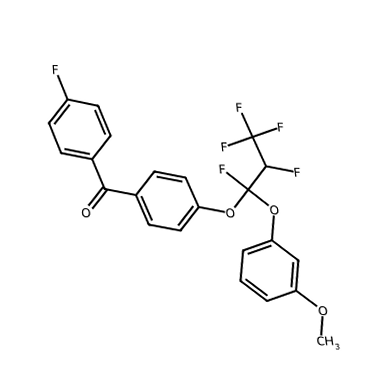 COc1cccc(OC(F)(Oc2ccc(C(=O)c3ccc(F)cc3)cc2)C(F)C(F)(F)F)c1